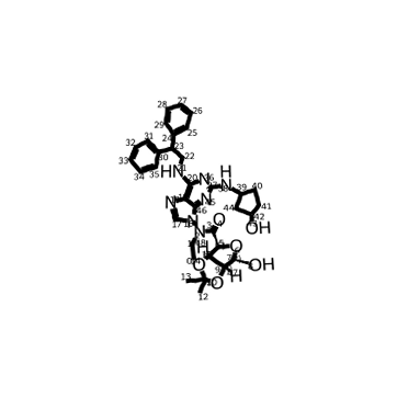 CCN(C(=O)[C@H]1O[C@@H](O)[C@@H]2OC(C)(C)O[C@@H]21)n1cnc2c(NCC(c3ccccc3)c3ccccc3)nc(NC3CCC(O)C3)nc21